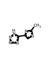 Cc1nc(-c2nnn[nH]2)cs1